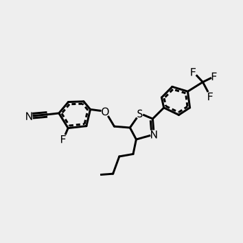 CCCCC1N=C(c2ccc(C(F)(F)F)cc2)SC1COc1ccc(C#N)c(F)c1